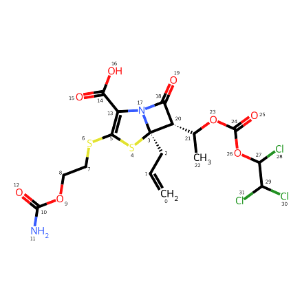 C=CC[C@]12SC(SCCOC(N)=O)=C(C(=O)O)N1C(=O)[C@@H]2C(C)OC(=O)OC(Cl)C(Cl)Cl